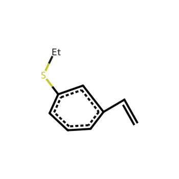 C=Cc1cccc(SCC)c1